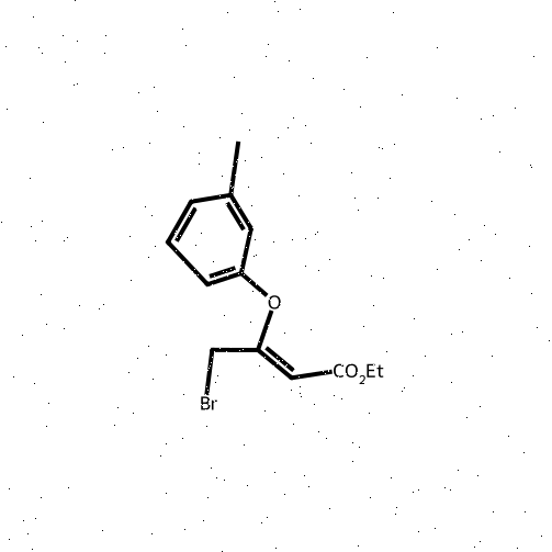 CCOC(=O)/C=C(/CBr)Oc1cccc(C)c1